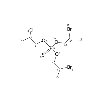 CC(Cl)COP(=S)(OCC(C)Br)OCC(C)Br